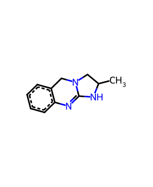 CC1CN2Cc3ccccc3N=C2N1